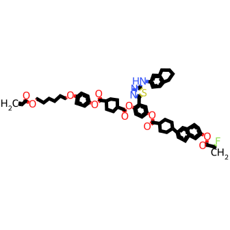 C=CC(=O)OCCCCCCOc1ccc(OC(=O)C2CCC(C(=O)Oc3ccc(OC(=O)C4CCC(c5ccc6cc(OC(=O)C(=C)F)ccc6c5)CC4)cc3-c3nnc(Nc4ccc5c(c4)CCCC5)s3)CC2)cc1